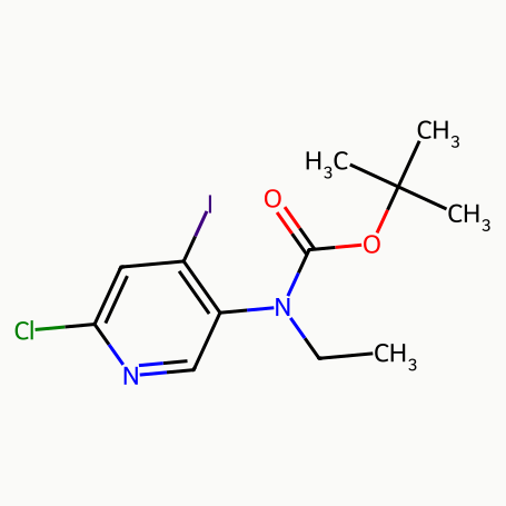 CCN(C(=O)OC(C)(C)C)c1cnc(Cl)cc1I